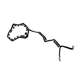 FC(F)=CC=Cc1ccccc1